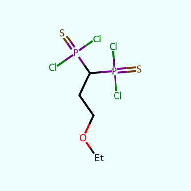 CCOCCC(P(=S)(Cl)Cl)P(=S)(Cl)Cl